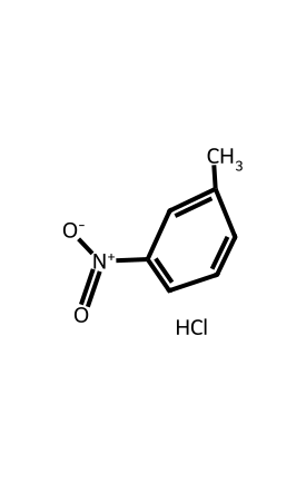 Cc1cccc([N+](=O)[O-])c1.Cl